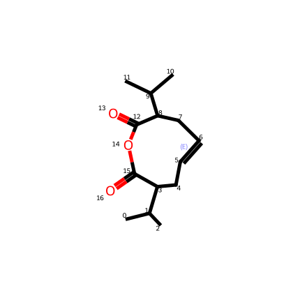 CC(C)C1C/C=C/CC(C(C)C)C(=O)OC1=O